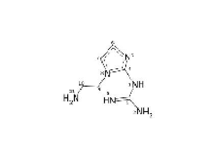 N=C(N)Nc1nccn1CCN